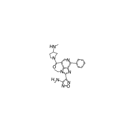 CCn1c(-c2nonc2N)nc2c(-c3ccccc3)ncc(C(=O)N3CCC(NC)C3)c21